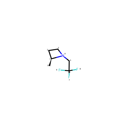 C[C@H]1CCN1CC(F)(F)F